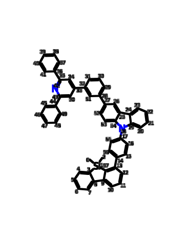 C[Si]1(C)c2ccccc2-c2cccc(-c3ccc(-n4c5ccccc5c5cc(-c6cccc(-c7cc(-c8ccccc8)nc(-c8ccccc8)c7)c6)ccc54)cc3)c21